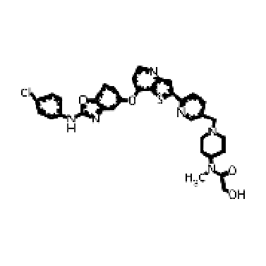 CN(C(=O)CO)C1CCN(Cc2ccc(-c3cc4nccc(Oc5ccc6oc(Nc7ccc(Cl)cc7)nc6c5)c4s3)nc2)CC1